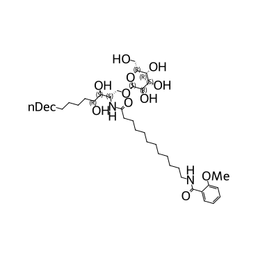 CCCCCCCCCCCCCC[C@@H](O)[C@@H](O)[C@H](CO[C@H]1O[C@H](CO)[C@H](O)[C@H](O)[C@H]1O)NC(=O)CCCCCCCCCCCNC(=O)c1ccccc1OC